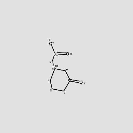 O=C1CCC[C@H](C[N+](=O)[O-])C1